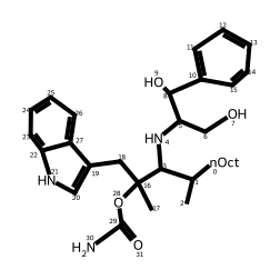 CCCCCCCCC(C)C(NC(CO)C(O)c1ccccc1)C(C)(Cc1c[nH]c2ccccc12)OC(N)=O